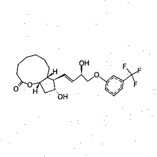 O=C1CCCCCC[C@@H]2[C@@H](/C=C/[C@@H](O)COc3cccc(C(F)(F)F)c3)[C@H](O)C[C@@H]2O1